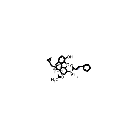 CC(=O)O[C@@]12CCC(N(C)C(=O)/C=C/c3ccccc3)C3Oc4c(O)ccc5c4[C@@]31CCN(CC1CC1)[C@@H]2C5